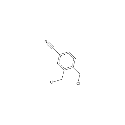 N#Cc1ccc(CCl)c(CCl)c1